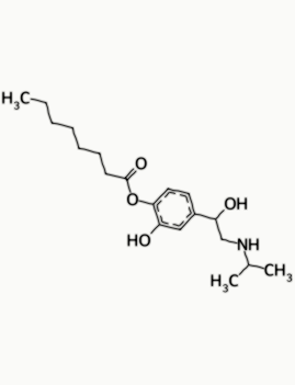 CCCCCCCC(=O)Oc1ccc(C(O)CNC(C)C)cc1O